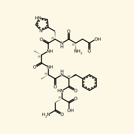 C[C@H](NC(=O)[C@H](C)NC(=O)[C@H](Cc1c[nH]cn1)NC(=O)[C@@H](N)CC(=O)O)C(=O)N[C@@H](Cc1ccccc1)C(=O)N[C@@H](CC(N)=O)C(=O)O